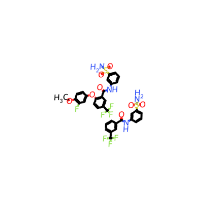 COc1ccc(Oc2ccc(C(F)(F)F)cc2C(=O)Nc2cccc(S(N)(=O)=O)c2)cc1F.NS(=O)(=O)c1cccc(NC(=O)c2cccc(C(F)(F)F)c2)c1